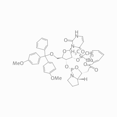 COc1ccc(C(OC[C@H]2O[C@@H](n3c(=O)cc[nH]c3=O)[C@H](O[Si](C)(C)C(C)(C)C)[C@@H]2O[P@]2O[C@H](CS(=O)(=O)c3ccccc3)[C@@H]3CCCN32)(c2ccccc2)c2ccc(OC)cc2)cc1